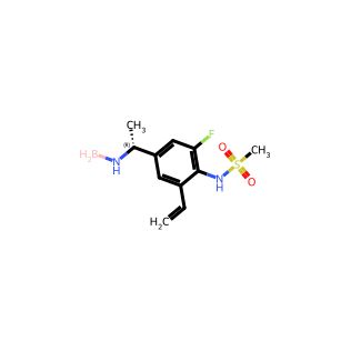 BN[C@H](C)c1cc(F)c(NS(C)(=O)=O)c(C=C)c1